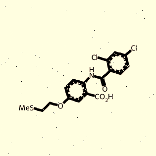 CSCCOc1ccc(NC(=O)c2ccc(Cl)cc2Cl)c(C(=O)O)c1